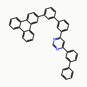 c1ccc(-c2cccc(-c3cc(-c4cccc(-c5cccc(-c6ccc7c8ccccc8c8ccccc8c7c6)c5)c4)ncn3)c2)cc1